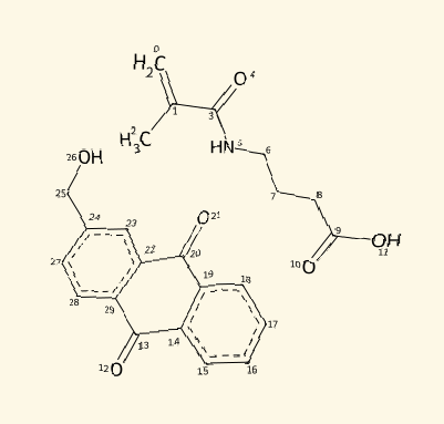 C=C(C)C(=O)NCCCC(=O)O.O=C1c2ccccc2C(=O)c2cc(CO)ccc21